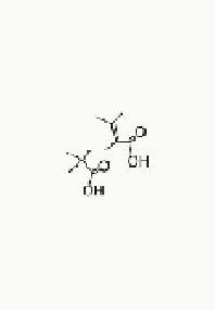 CC(C)(C)C(=O)O.CC(C)=C(C)C(=O)O